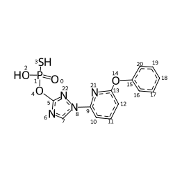 O=P(O)(S)Oc1ncn(-c2cccc(Oc3ccccc3)n2)n1